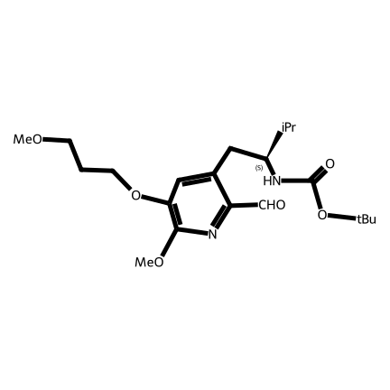 COCCCOc1cc(C[C@H](NC(=O)OC(C)(C)C)C(C)C)c(C=O)nc1OC